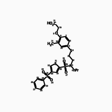 CCCN(CCSc1ccc(OCC(=O)O)c(C)c1)S(=O)(=O)c1cc(S(=O)(=O)c2ccccc2)cs1